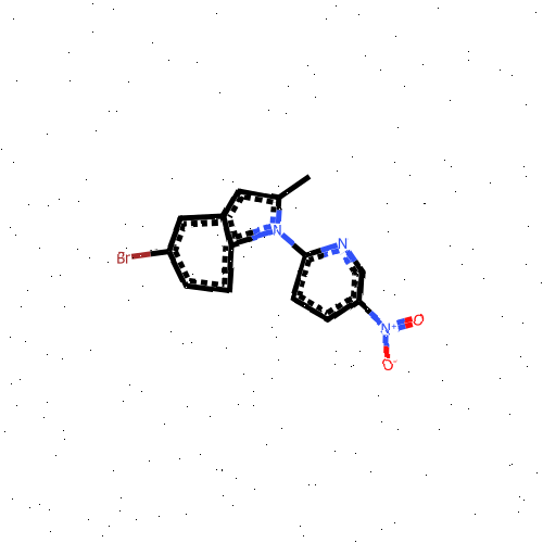 Cc1cc2cc(Br)ccc2n1-c1ccc([N+](=O)[O-])cn1